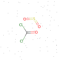 O=C(Cl)Cl.O=S=O